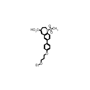 CCOCCCOc1ccc(-c2ccc3c(c2)C=C(C(=O)O)CCN3S(C)(=O)=O)cc1